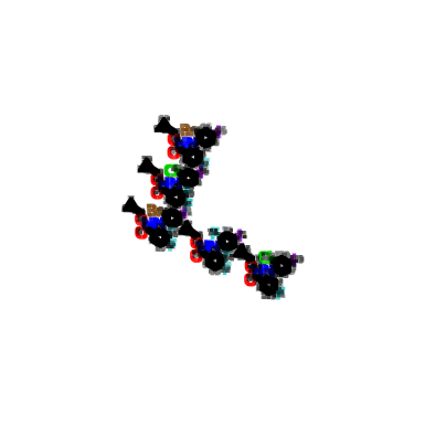 O=C(NOCC1CC1)c1ccc(F)c(F)c1Nc1ccc(I)cc1Br.O=C(NOCC1CC1)c1ccc(F)c(F)c1Nc1ccc(I)cc1Cl.O=C(NOCC1CC1)c1ccc(F)c(F)c1Nc1ccc(I)cc1F.O=C(NOCC1CC1)c1ccc(F)cc1Nc1ccc(I)cc1Br.O=C(NOCC1CC1)c1ccc(F)cc1Nc1ccc(I)cc1Cl